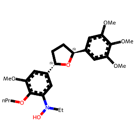 CCCOc1c(OC)cc([C@@H]2CC[C@@H](c3cc(OC)c(OC)c(OC)c3)O2)cc1N(O)CC